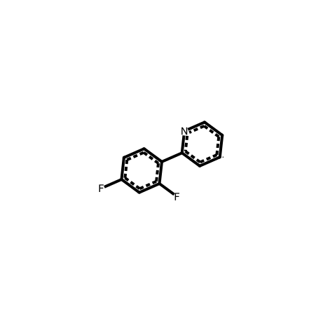 Fc1ccc(-c2c[c]ccn2)c(F)c1